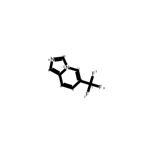 FC(F)(F)c1ccc2cncn2c1